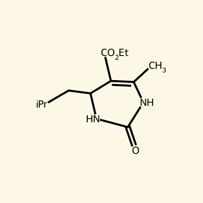 CCOC(=O)C1=C(C)NC(=O)NC1CC(C)C